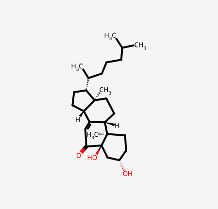 CC(C)CCCC(C)[C@H]1CC[C@H]2C3=CC(=O)[C@@]4(O)C[C@@H](O)CC[C@]4(C)[C@H]3CC[C@]12C